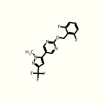 Cn1nc(C(F)(F)F)cc1-c1cnc(OCc2c(F)cccc2F)nc1